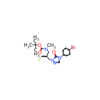 CN(C/C(=C/F)Cn1ncn(-c2ccc(Br)cc2)c1=O)C(=O)OC(C)(C)C